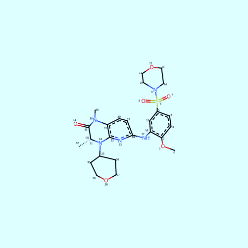 COc1ccc(S(=O)(=O)N2CCOCC2)cc1Nc1ccc2c(n1)N(C1CCOCC1)[C@H](C)C(=O)N2C